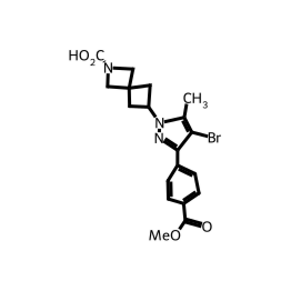 COC(=O)c1ccc(-c2nn(C3CC4(C3)CN(C(=O)O)C4)c(C)c2Br)cc1